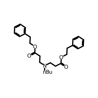 CCCCN(CCC(=O)OCCc1ccccc1)CCC(=O)OCCc1ccccc1